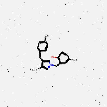 CCOC(=O)c1cn(Cc2cc(C#N)ccc2O)cc1Cc1ccc(C#N)cc1